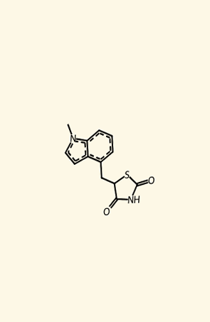 Cn1ccc2c(CC3SC(=O)NC3=O)cccc21